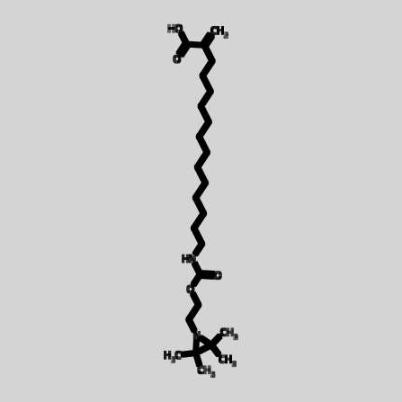 C=C(CCCCCCCCCCCCCNC(=O)OCCN1C(C)(C)C1(C)C)C(=O)O